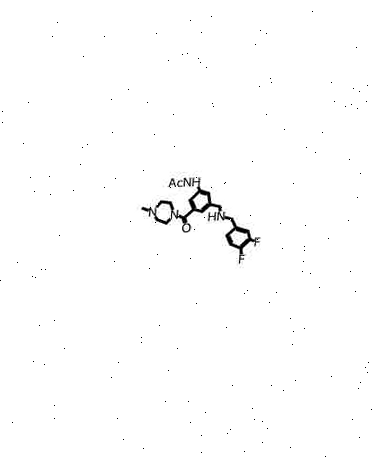 CC(=O)Nc1cc(CNCc2ccc(F)c(F)c2)cc(C(=O)N2CCN(C)CC2)c1